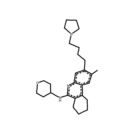 Cc1cc2c3c(c(NC4CCOCC4)nc2cc1CCCCN1CCCC1)CCCC3